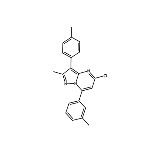 Cc1ccc(-c2c(C)nn3c(-c4cccc(C)c4)cc(Cl)nc23)cc1